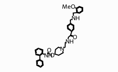 COc1ccccc1CNCc1ccc(C(=O)CNCCN2CCC(OC(=O)Nc3ccccc3-c3ccccc3)CC2)cc1